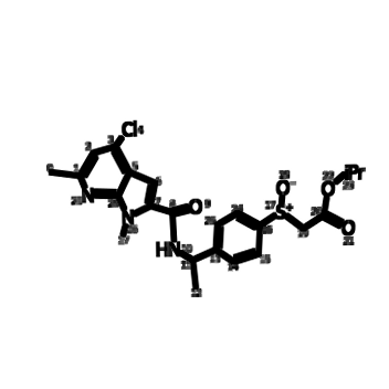 Cc1cc(Cl)c2cc(C(=O)NC(C)c3ccc([S+]([O-])CC(=O)OC(C)C)cc3)n(C)c2n1